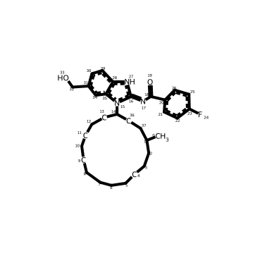 CC1CCCCCCCCCCCCC(n2/c(=N/C(=O)c3ccc(F)cc3)[nH]c3ccc(CO)cc32)CC1